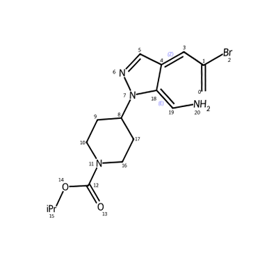 C=C(Br)/C=c1/cnn(C2CCN(C(=O)OC(C)C)CC2)/c1=C/N